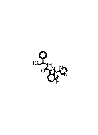 O=C(NC(CO)c1ccccc1)c1nn(-c2cnccn2)c2c1CCCC2(F)F